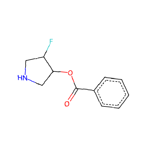 O=C(OC1CNCC1F)c1ccccc1